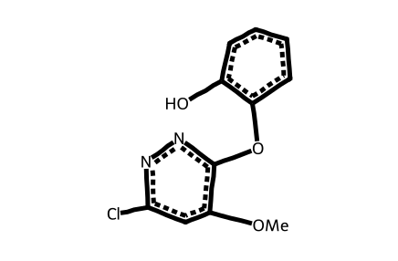 COc1cc(Cl)nnc1Oc1ccccc1O